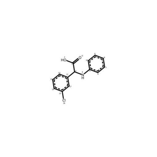 O=C(O)C(Nc1ccccc1)c1cccc(Cl)c1